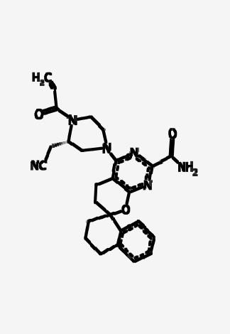 C=CC(=O)N1CCN(c2nc(C(N)=O)nc3c2CCC2(CCCc4ccccc42)O3)C[C@@H]1CC#N